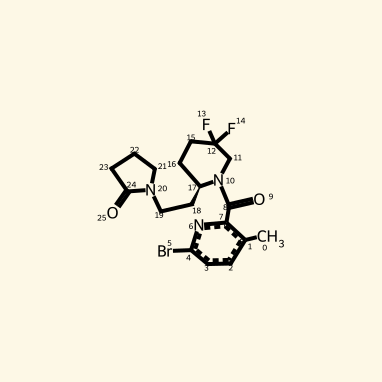 Cc1ccc(Br)nc1C(=O)N1CC(F)(F)CC[C@@H]1CCN1CCCC1=O